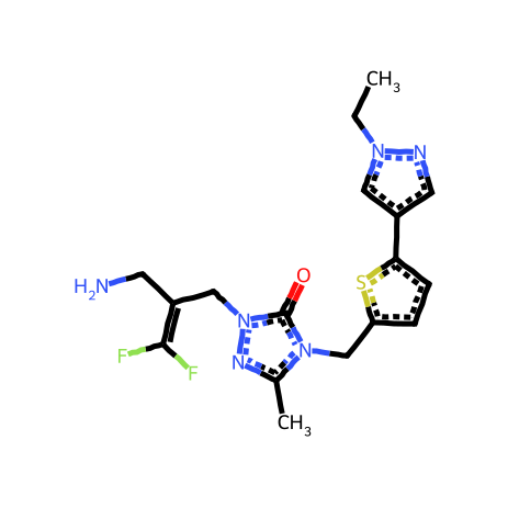 CCn1cc(-c2ccc(Cn3c(C)nn(CC(CN)=C(F)F)c3=O)s2)cn1